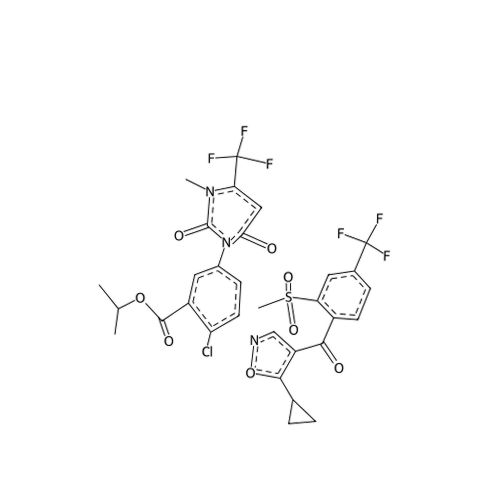 CC(C)OC(=O)c1cc(-n2c(=O)cc(C(F)(F)F)n(C)c2=O)ccc1Cl.CS(=O)(=O)c1cc(C(F)(F)F)ccc1C(=O)c1cnoc1C1CC1